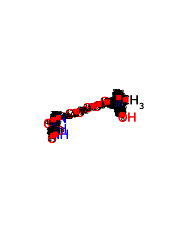 CC/C(=C(\c1ccc(O)cc1)c1ccc(OCCOCCOCCOCCOCCNc2cccc3c2CN(C2CCC(=O)NC2=O)C3=O)cc1)c1ccccc1